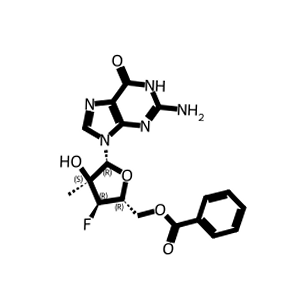 C[C@@]1(O)[C@H](F)[C@@H](COC(=O)c2ccccc2)O[C@H]1n1cnc2c(=O)[nH]c(N)nc21